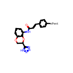 CCCCCc1ccc(C=CC(=O)Nc2cccc3c2OC(c2nnn[nH]2)CO3)cc1